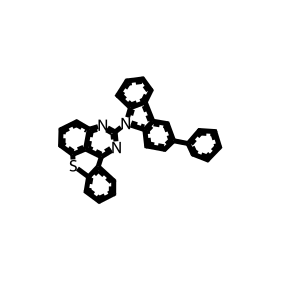 c1ccc(-c2ccc3c(c2)c2ccccc2n3-c2nc3c4c(cccc4n2)Sc2ccccc2-3)cc1